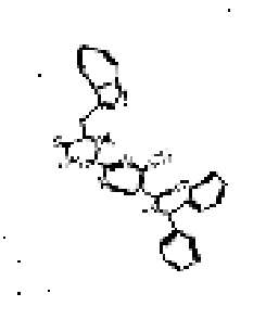 O=C(NC(CC1=CN=C2C=CC=CC12)C(=O)O)c1ncc(C(=O)NC(c2ccccc2)c2ccccc2)c(O)n1